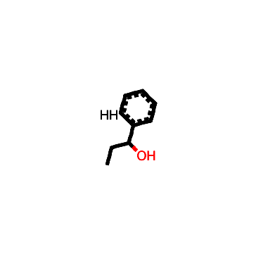 CCC(O)c1ccccc1.[HH]